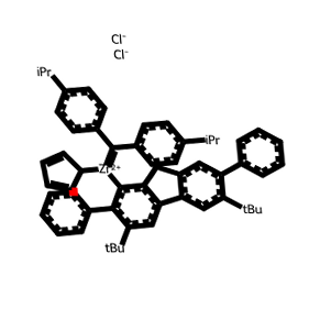 CC(C)c1ccc([C](c2ccc(C(C)C)cc2)=[Zr+2]([c]2c3c(cc(C(C)(C)C)c2-c2ccccc2)-c2cc(C(C)(C)C)c(-c4ccccc4)cc2C3)[CH]2C=CC=C2)cc1.[Cl-].[Cl-]